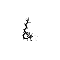 C[Si]1(C)CCCC(CCCCCl)O1